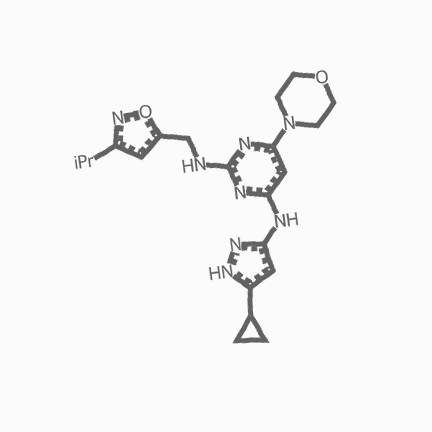 CC(C)c1cc(CNc2nc(Nc3cc(C4CC4)[nH]n3)cc(N3CCOCC3)n2)on1